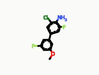 COc1cc(F)cc(-c2cc(F)c(N)c(Cl)c2)c1